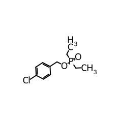 CCP(=O)(CC)OCc1ccc(Cl)cc1